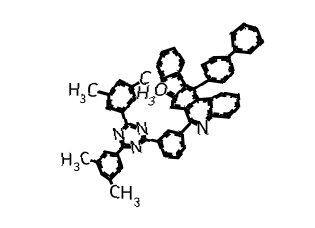 Cc1cc(C)cc(-c2nc(-c3cc(C)cc(C)c3)nc(-c3cccc(-c4nc5ccccc5c5c(-c6ccc(-c7ccccc7)cc6)c6c(cc45)oc4ccccc46)c3)n2)c1